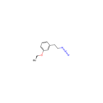 CC[C@H](C)COc1cccc(CCN=[N+]=[N-])c1